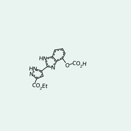 CCOC(=O)c1cc(-c2nc3c(OC(=O)O)cccc3[nH]2)[nH]n1